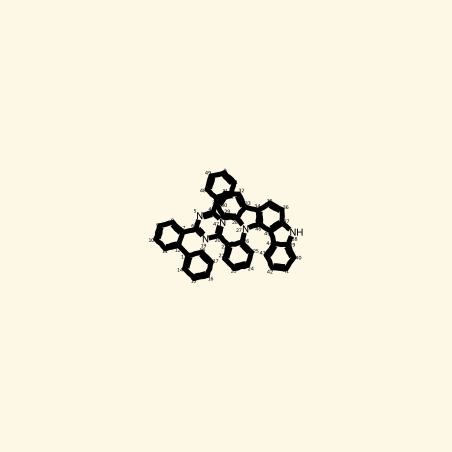 c1ccc(-c2nc(-c3ccccc3-c3ccccc3)nc(-c3ccccc3-n3c4ccccc4c4ccc5[nH]c6ccccc6c5c43)n2)cc1